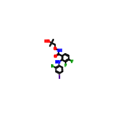 CC(C)(O)CONC(=O)c1ccc(F)c(F)c1Nc1ccc(I)cc1F